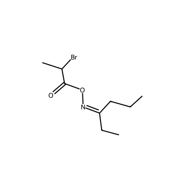 CCC/C(CC)=N\OC(=O)C(C)Br